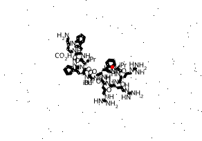 CC[C@H](C)[C@H](NC(=O)[C@H](Cc1c[nH]c2ccccc12)NC(=O)[C@H](CCCNC(=N)N)NC(=O)[C@H](CCCNC(=N)N)NC(=O)[C@H](CCCNC(=N)N)NC(=O)[C@@H](N)C(C)C)C(=O)N[C@@H](Cc1c[nH]c2ccccc12)C(=O)N[C@@H](CC(C)C)C(=O)N[C@@H](Cc1c[nH]c2ccccc12)C(=O)N[C@@H](CCCCN)C(=O)O